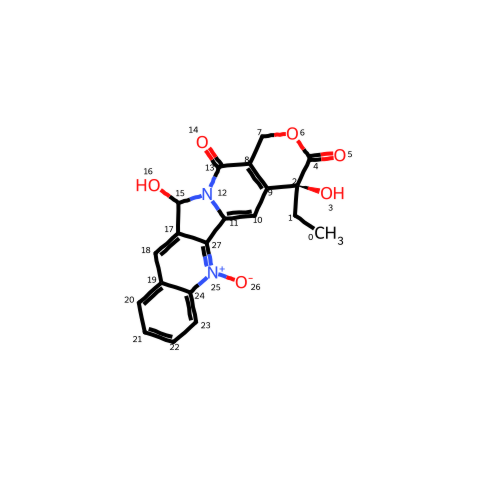 CC[C@@]1(O)C(=O)OCc2c1cc1n(c2=O)C(O)c2cc3ccccc3[n+]([O-])c2-1